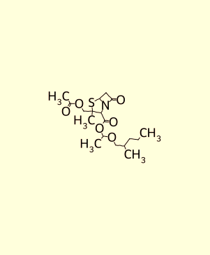 CCCC(C)COC(C)OC(=O)C1N2C(=O)CC2SC1(C)COC(C)=O